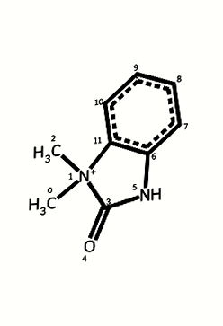 C[N+]1(C)C(=O)Nc2cc[c]cc21